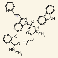 CNC(=O)c1ccccc1Sc1ccc2c(/C=C/c3ccccn3)nn(P(=O)(N[C@@H](C)C(=O)OC)Oc3ccc4[nH]c5ccccc5c4c3)c2c1